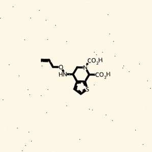 C=CCONC1CN(C(=O)O)C(C(=O)O)c2sccc21